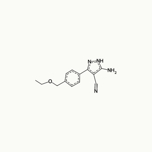 CCOCc1ccc(-c2n[nH]c(N)c2C#N)cc1